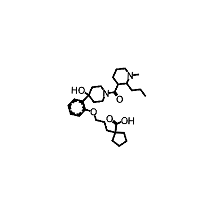 CCCC1C(C(=O)N2CCC(O)(c3ccccc3OCCCC3(C(=O)O)CCCC3)CC2)CCCN1C